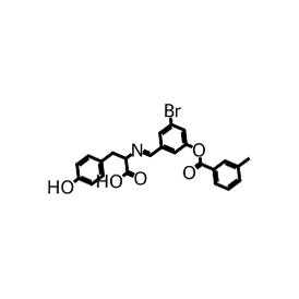 Cc1cccc(C(=O)Oc2cc(Br)cc(C=NC(Cc3ccc(O)cc3)C(=O)O)c2)c1